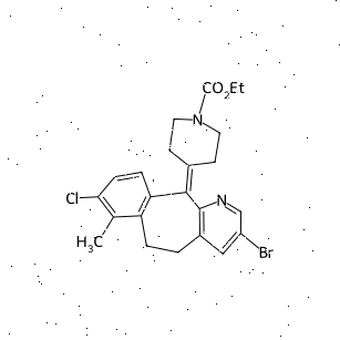 CCOC(=O)N1CCC(=C2c3ccc(Cl)c(C)c3CCc3cc(Br)cnc32)CC1